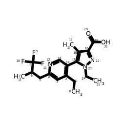 CCc1cc(CC(C)C(F)(F)F)ncc1-c1c(C)c(C(=O)O)nn1CC